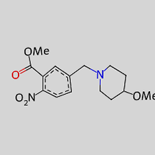 COC(=O)c1cc(CN2CCC(OC)CC2)ccc1[N+](=O)[O-]